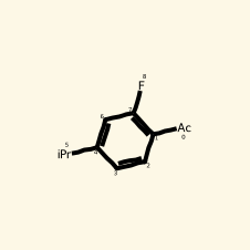 CC(=O)c1ccc(C(C)C)cc1F